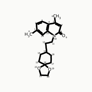 Cc1ccc2c(C)cc(=O)n(CCC3CCC4(CC3)OCCO4)c2c1